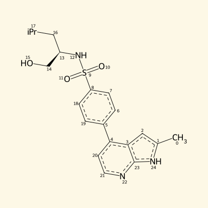 Cc1cc2c(-c3ccc(S(=O)(=O)N[C@@H](CO)CC(C)C)cc3)ccnc2[nH]1